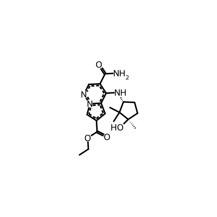 CCOC(=O)c1cc2c(N[C@@H]3CC[C@@](C)(O)C3(C)C)c(C(N)=O)cnn2c1